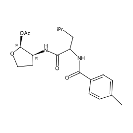 CC(=O)O[C@@H]1OCC[C@@H]1NC(=O)C(CC(C)C)NC(=O)c1ccc(C)cc1